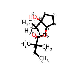 CCC(C)(C)C(=O)OC1CCCC1(O)C(C)(C)C